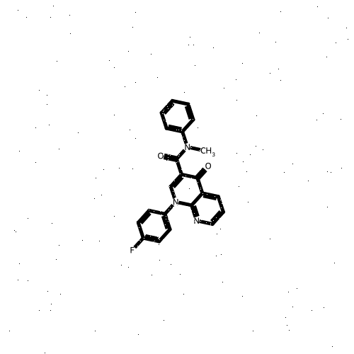 CN(C(=O)c1cn(-c2ccc(F)cc2)c2ncccc2c1=O)c1ccccc1